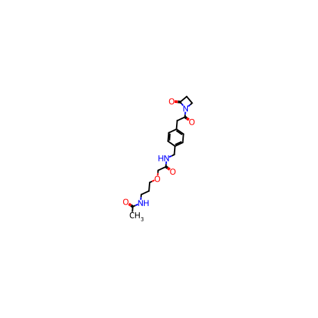 CC(=O)NCCCOCC(=O)NCc1ccc(CC(=O)N2CCC2=O)cc1